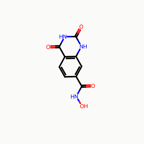 O=C(NO)c1ccc2c(=O)[nH]c(=O)[nH]c2c1